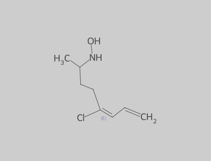 C=C/C=C(/Cl)CCC(C)NO